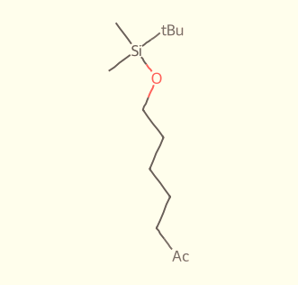 CC(=O)CCCCCO[Si](C)(C)C(C)(C)C